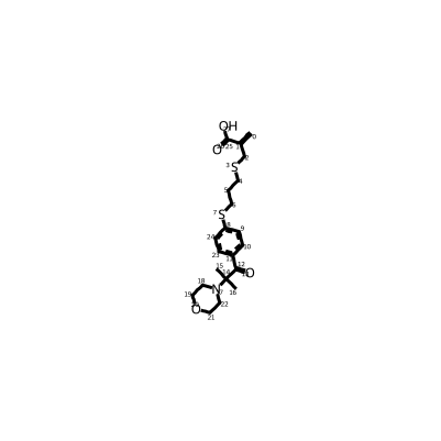 C=C(CSCCCSc1ccc(C(=O)C(C)(C)N2CCOCC2)cc1)C(=O)O